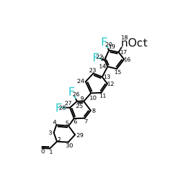 C=CC1CC=C(c2ccc(-c3ccc(-c4ccc(CCCCCCCC)c(F)c4F)cc3)c(F)c2F)CC1